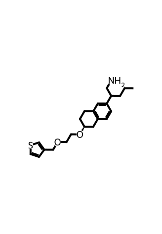 CCCC(CN)c1ccc2c(c1)CC[C@H](OCCOCc1ccsc1)C2